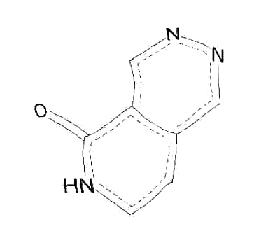 O=c1[nH]ccc2cnncc12